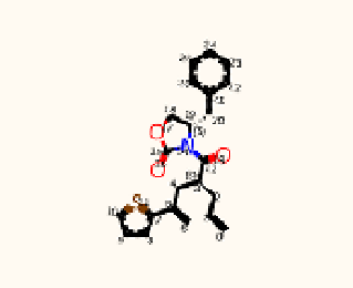 C=CC[C@@H](CC(=C)c1cccs1)C(=O)N1C(=O)OC[C@@H]1Cc1ccccc1